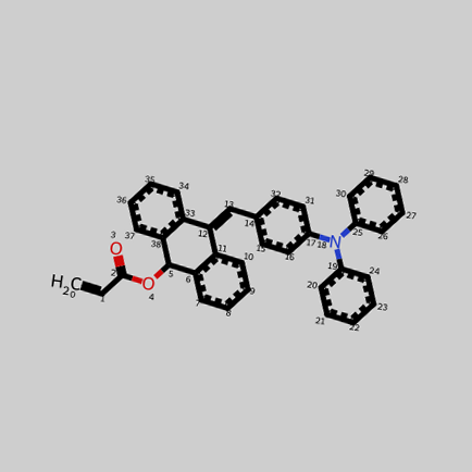 C=CC(=O)OC1c2ccccc2C(=Cc2ccc(N(c3ccccc3)c3ccccc3)cc2)c2ccccc21